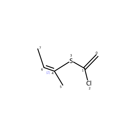 C=C(Cl)S/C(C)=C\C